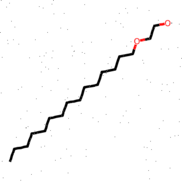 CCCCCCCCCCCCCCCOCC[O]